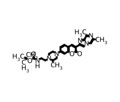 Cc1cn2cc(-c3cc4ccc(N5CCN(CCNC(=O)OC(C)(C)C)C(C)C5)cc4oc3=O)nc2c(C)n1